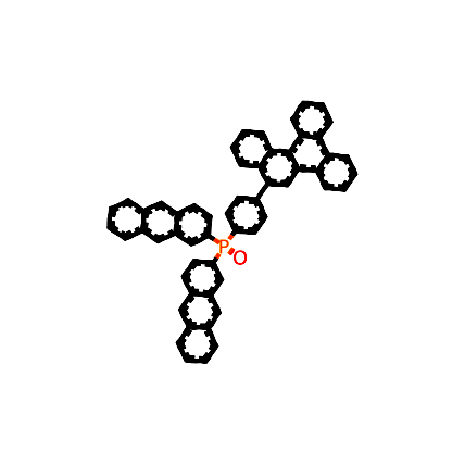 O=P(c1ccc(-c2cc3c4ccccc4c4ccccc4c3c3ccccc23)cc1)(c1ccc2cc3ccccc3cc2c1)c1ccc2cc3ccccc3cc2c1